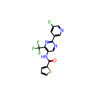 O=C(Nc1cnc(-c2cncc(F)c2)nc1C(F)(F)F)c1cccs1